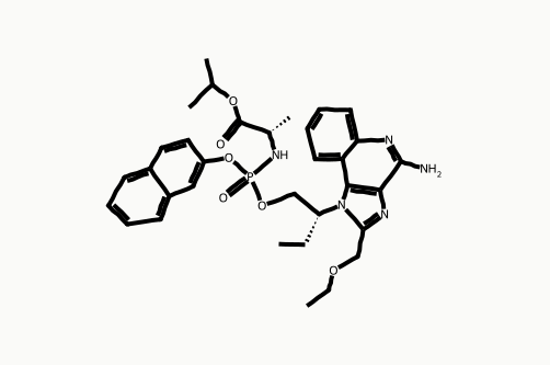 CCOCc1nc2c(N)nc3ccccc3c2n1[C@H](CC)COP(=O)(N[C@@H](C)C(=O)OC(C)C)Oc1ccc2ccccc2c1